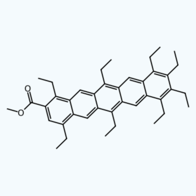 CCc1c(CC)c(CC)c2cc3c(CC)c4cc5c(CC)c(C(=O)OC)cc(CC)c5cc4c(CC)c3cc2c1CC